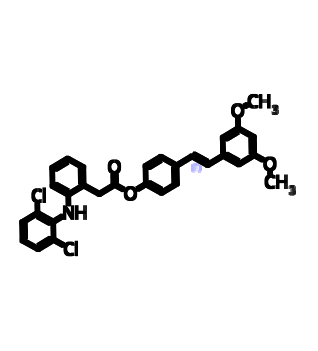 COc1cc(/C=C/c2ccc(OC(=O)Cc3ccccc3Nc3c(Cl)cccc3Cl)cc2)cc(OC)c1